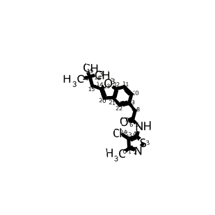 Cc1nsc(NC(=O)Cc2ccc3oc(CC(C)(C)C)cc3c2)c1Cl